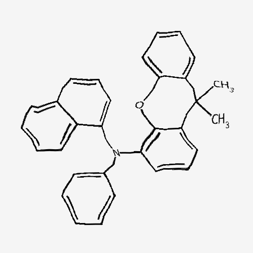 CC1(C)c2ccccc2Oc2c(N(c3ccccc3)c3cccc4ccccc34)cccc21